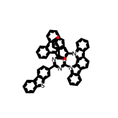 c1ccc(-c2nc(-c3ccc4c(c3)sc3ccccc34)nc(-n3c4ccccc4c4ccc5c6ccccc6n(-c6ccc7c8ccccc8c8ccccc8c7c6)c5c43)n2)cc1